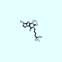 CC(=O)N1CCn2c1nc1c2c(=O)n(CCCC[C@H](C)O)c(=O)n1C